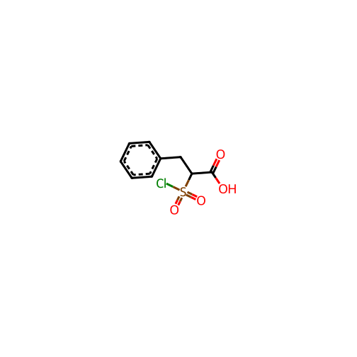 O=C(O)C(Cc1ccccc1)S(=O)(=O)Cl